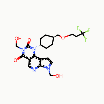 O=c1c2cnc3c(ccn3CO)c2n([C@H]2CC[C@H](COCCC(F)(F)F)CC2)c(=O)n1CO